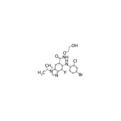 CC(C)n1cnc2c(F)c(Nc3ccc(Br)cc3Cl)c(C(=O)NOCCO)cc21